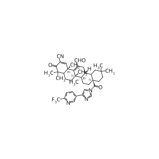 CC1(C)CC[C@]2(C(=O)n3cnc(-c4ccc(C(F)(F)F)nc4)c3)CC[C@]3(C)[C@H](CC(C=O)=C4[C@@]5(C)C=C(C#N)C(=O)C(C)(C)C5CC[C@]43C)C2C1